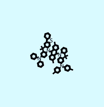 Cc1ccc(N(c2ccc(C)cc2)c2ccc3c(c2)C(C)(C)c2ccccc2N3c2c3ccc(C)cc3c(N3c4ccc(N(c5ccccc5)c5ccccc5)cc4C(C)(C)c4cc5c(cc43)sc3ccccc35)c3ccc(C)cc23)cc1